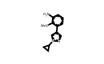 COc1c(N)cccc1-c1cnn(C2CC2)c1